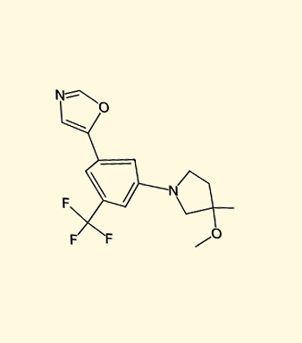 COC1(C)CCN(c2cc(-c3cnco3)cc(C(F)(F)F)c2)C1